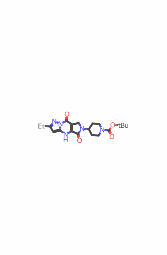 CCc1cc2[nH]c3c(c(=O)n2n1)CN(C1CCN(C(=O)OC(C)(C)C)CC1)C3=O